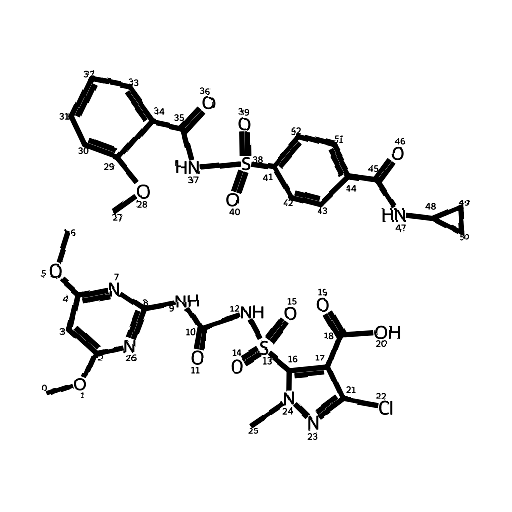 COc1cc(OC)nc(NC(=O)NS(=O)(=O)c2c(C(=O)O)c(Cl)nn2C)n1.COc1ccccc1C(=O)NS(=O)(=O)c1ccc(C(=O)NC2CC2)cc1